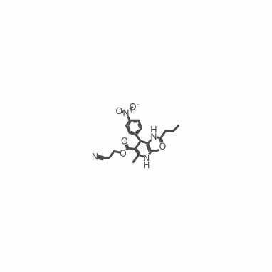 CCCC(=O)NC1=C(C)NC(C)=C(C(=O)OCCC#N)C1c1ccc([N+](=O)[O-])cc1